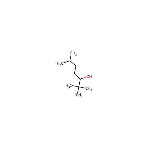 CC(C)CCC(O)C(C)(C)C